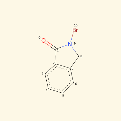 O=C1c2ccccc2CN1Br